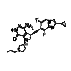 CC=CN1CC[C@H](n2cc(C#Cc3c(F)cn4cc(C5CC5)nc4c3F)c3c(N)n[nH]c(=O)c32)C1